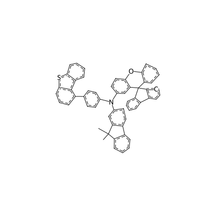 CC1(C)c2ccccc2-c2ccc(N(c3ccc(-c4cccc5sc6ccccc6c45)cc3)c3ccc4c(c3)C3(c5ccccc5O4)c4ccccc4-c4ccccc43)cc21